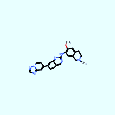 COc1cc2c(cc1Nc1ncc3ccc(-c4ccn5ncnc5c4)cc3n1)CN(C)CC2